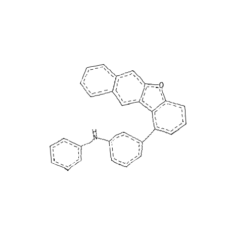 c1ccc(Nc2cccc(-c3cccc4oc5cc6ccccc6cc5c34)c2)cc1